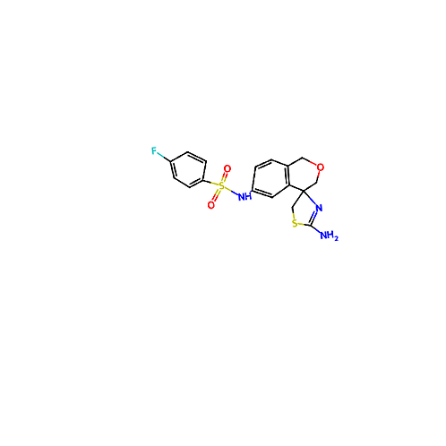 NC1=NC2(COCc3ccc(NS(=O)(=O)c4ccc(F)cc4)cc32)CS1